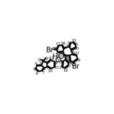 CC1(C)c2ccccc2-c2ccc(Oc3ccccc3C3(O)c4cc(Br)ccc4-c4ccccc4-c4ccc(Br)cc43)cc21